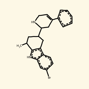 CC1CC(C2CC(c3ccccc3)=CCN2)Cc2c1[nH]c1cc(Br)ccc21